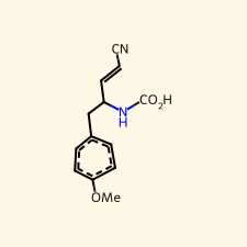 COc1ccc(CC(C=CC#N)NC(=O)O)cc1